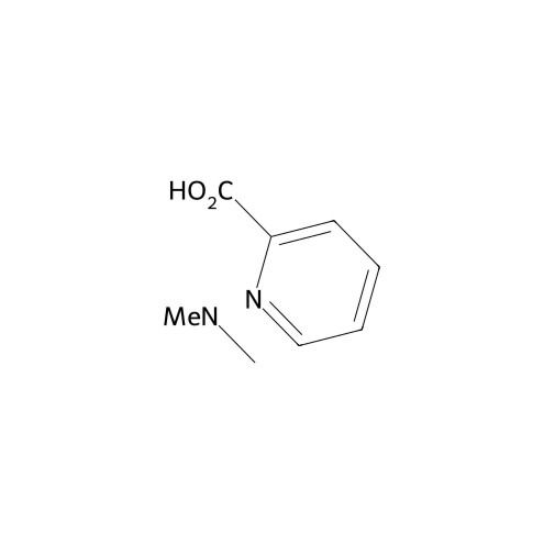 CNC.O=C(O)c1ccccn1